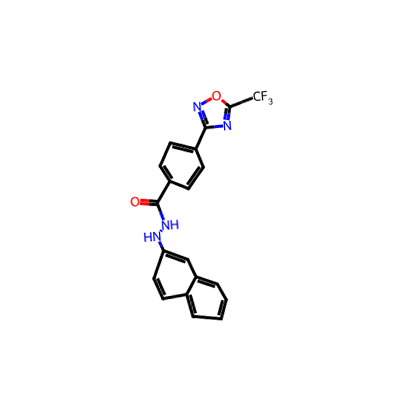 O=C(NNc1ccc2ccccc2c1)c1ccc(-c2noc(C(F)(F)F)n2)cc1